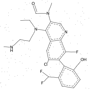 CCN(CCNC)c1c(N(C)C=O)cnc2c(F)c(-c3c(O)cccc3C(F)F)c(Cl)cc12